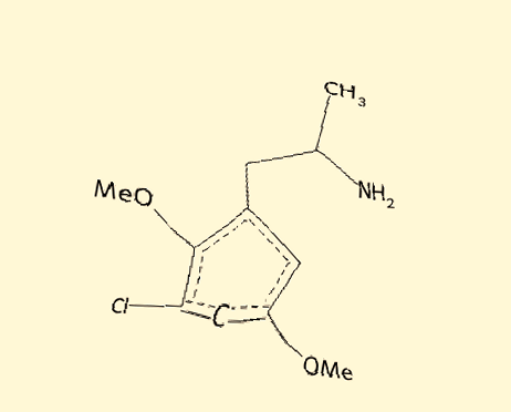 COc1cc(Cl)c(OC)c(CC(C)N)c1